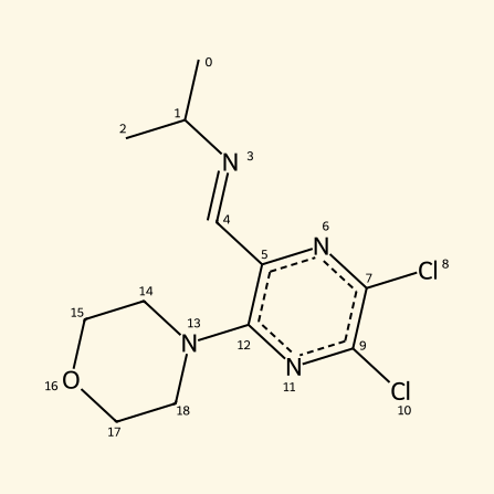 CC(C)N=Cc1nc(Cl)c(Cl)nc1N1CCOCC1